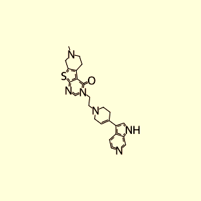 CN1CCc2c(sc3ncn(CCN4CC=C(c5c[nH]c6cnccc56)CC4)c(=O)c23)C1